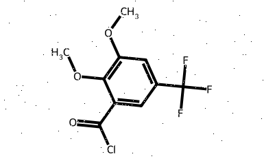 COc1cc(C(F)(F)F)cc(C(=O)Cl)c1OC